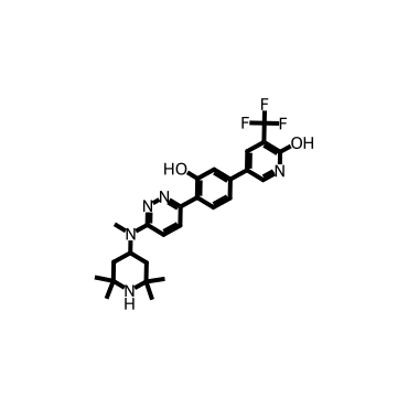 CN(c1ccc(-c2ccc(-c3cnc(O)c(C(F)(F)F)c3)cc2O)nn1)C1CC(C)(C)NC(C)(C)C1